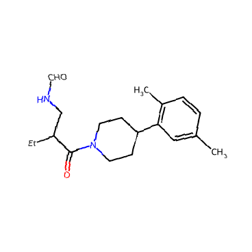 CCC(CNC=O)C(=O)N1CCC(c2cc(C)ccc2C)CC1